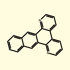 c1ccc2cc3c(cc2c1)c1ncccc1c1cccnc13